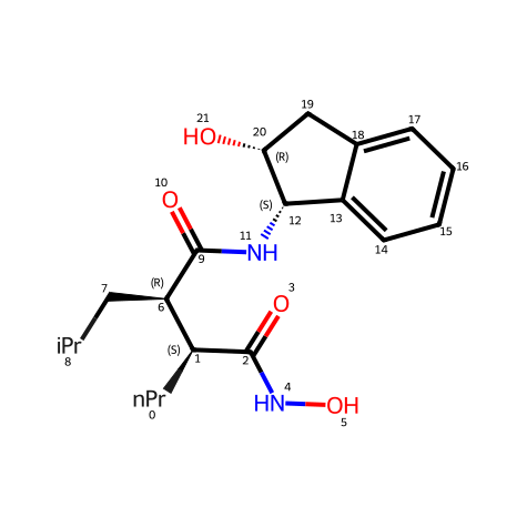 CCC[C@H](C(=O)NO)[C@@H](CC(C)C)C(=O)N[C@H]1c2ccccc2C[C@H]1O